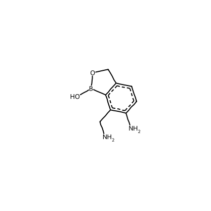 NCc1c(N)ccc2c1B(O)OC2